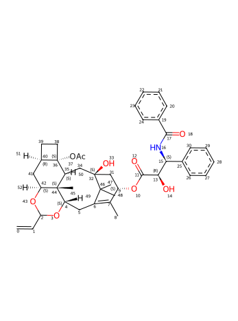 C=CC1O[C@H]2CC3=C(C)[C@@H](OC(=O)[C@H](O)[C@@H](NC(=O)c4ccccc4)c4ccccc4)C[C@@](O)(C[C@@H]4[C@]5(OC(C)=O)CC[C@@H]5C[C@H](O1)[C@@]24C)C3(C)C